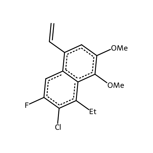 C=Cc1cc(OC)c(OC)c2c(CC)c(Cl)c(F)cc12